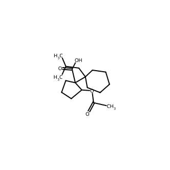 CC(=O)OC1CCCC1(C(=O)O)C1(CC(C)C)CCCCC1